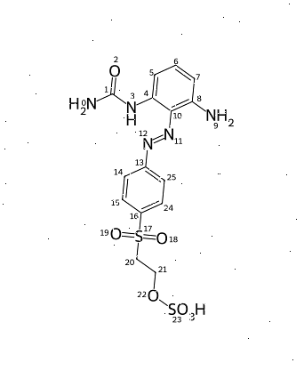 NC(=O)Nc1cccc(N)c1/N=N/c1ccc(S(=O)(=O)CCOS(=O)(=O)O)cc1